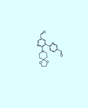 O=Cc1ccc(-c2cc(C=O)cnc2N2CCC3(CC2)OCCO3)nc1